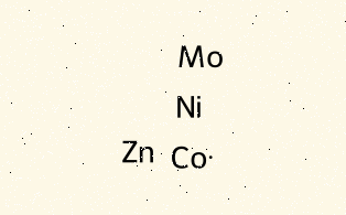 [Co].[Mo].[Ni].[Zn]